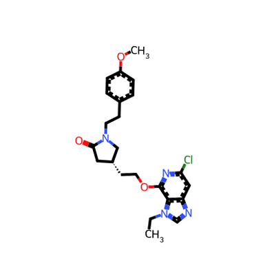 CCn1cnc2cc(Cl)nc(OCC[C@@H]3CC(=O)N(CCc4ccc(OC)cc4)C3)c21